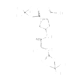 C[C@@H](NC(=O)OC(C)(C)C)C(=O)NC1C[C@@H](C(=O)O)N(C(=O)OC(C)(C)C)C1